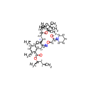 C=CC[C@@H](C)OC(=O)c1c(C)cc(C)c(C)c1CC(/C=C/C[C@@H](C=C)O[Si](C)(C)C(C)(C)C)=NOCC(=O)N1CCCCC1